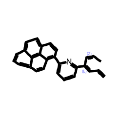 C=C/C=C(\C=C/C)c1cccc(-c2ccc3ccc4cccc5ccc2c3c45)n1